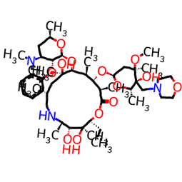 CC[C@H]1OC(=O)[C@H](C)[C@@H](O[C@H]2C[C@@](C)(OC)[C@](O)(CN3CCOCC3)[C@H](C)O2)[C@H](C)[C@@H](O[C@@H]2O[C@H](C)C[C@H](N(C)C)[C@H]2Oc2ccccc2)[C@](C)(O)C[C@@H](C)CN[C@H](C)[C@@H](O)[C@]1(C)O